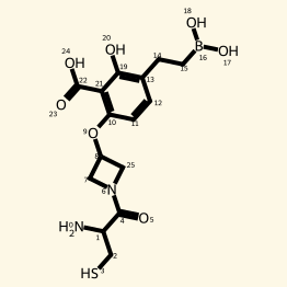 NC(CS)C(=O)N1CC(Oc2ccc(CCB(O)O)c(O)c2C(=O)O)C1